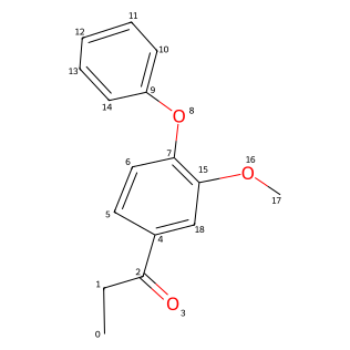 CCC(=O)c1ccc(Oc2ccccc2)c(OC)c1